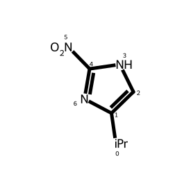 CC(C)c1c[nH]c([N+](=O)[O-])n1